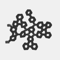 CC(C)(C)c1ccc2c(c1)c1cc(C(C)(C)C)ccc1n2-c1ccc2c(c1)N(c1ccc3c4ccccc4c4ccccc4c3c1)c1cc(N(c3ccc(-c4ccccc4)cc3)c3ccc(-c4ccccc4)cc3)cc3c1B2c1cc2c4ccccc4c4ccccc4c2cc1N3c1ccc2c3ccccc3c3ccccc3c2c1